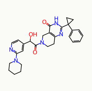 O=C(C(O)c1ccnc(N2CCCCC2)c1)N1CCc2nc(C3(c4ccccc4)CC3)[nH]c(=O)c2C1